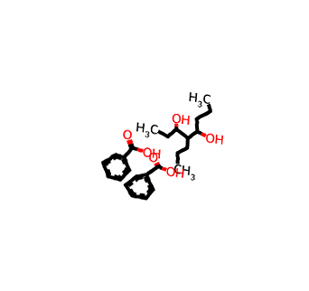 CCCC(O)C(CCC)C(O)CC.O=C(O)c1ccccc1.O=C(O)c1ccccc1